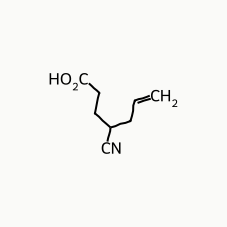 C=CCC(C#N)CCC(=O)O